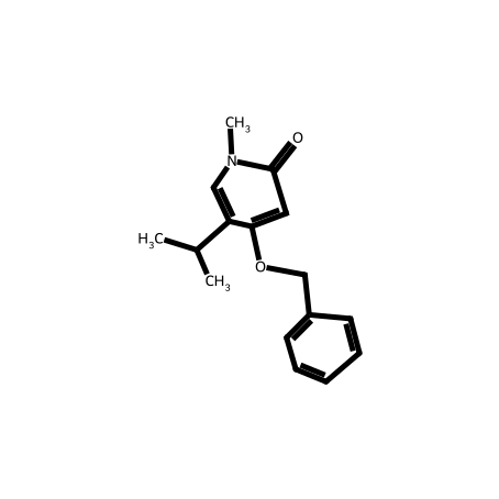 CC(C)c1cn(C)c(=O)cc1OCc1ccccc1